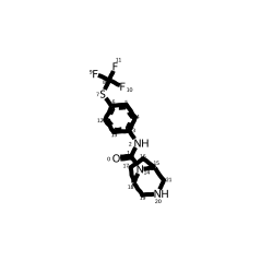 O=C(Nc1ccc(SC(F)(F)F)cc1)N1C2CCC1CNC2